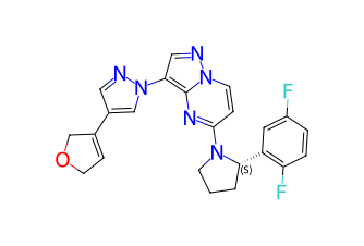 Fc1ccc(F)c([C@@H]2CCCN2c2ccn3ncc(-n4cc(C5=CCOC5)cn4)c3n2)c1